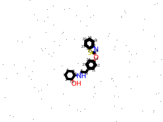 OC1CCCC[C@H]1NCCc1ccc(Oc2nc3ccccc3s2)cc1